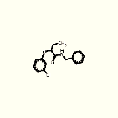 CCC(Oc1cccc(Cl)c1)C(=O)NCc1ccccc1